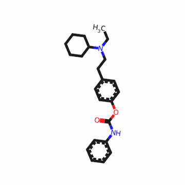 CCN(CCc1ccc(OC(=O)Nc2ccccc2)cc1)C1CCCCC1